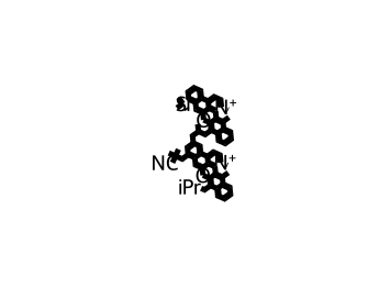 Cc1c2c(c(CC(C)C)c3ccccc13)Oc1cc3c(CC(C)(C)C#N)cc(CC(C)Cc4c5c(c(C)c6ccccc46)-c4c6c(cc7c([Si](C)(C)C)cccc7c6cc[n+]4C)O5)cc3c3cc[n+](C)c-2c13